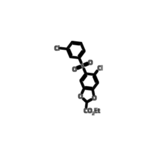 CCOC(=O)C1Oc2cc(Cl)c(S(=O)(=O)c3cccc(Cl)c3)cc2O1